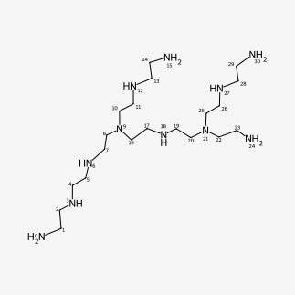 NCCNCCNCCN(CCNCCN)CCNCCN(CCN)CCNCCN